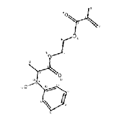 C=C(C)C(=O)OCCOC(=O)C(C)[S+]([O-])c1ccccc1